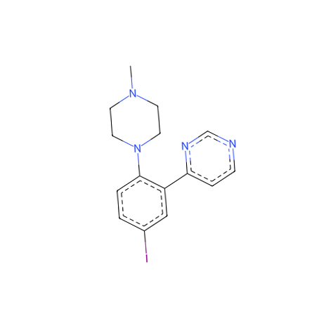 CN1CCN(c2ccc(I)cc2-c2ccncn2)CC1